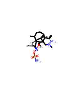 C=C/C1=C(\CN(C)N)[C@@H](/C(=N/OS(N)(=O)=O)NC)[C@@H]2C(=O)CC(CC)C1CCC2C